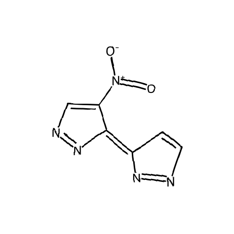 O=[N+]([O-])C1=CN=NC1=C1C=CN=N1